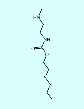 CCSSCCOC(=O)NCCNC